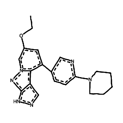 CCOc1cc(-c2ccc(N3CCCCC3)nc2)c2c3cn[nH]c3nn2c1